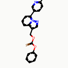 Fc1ccc(-c2cccc3c(COC(=S)Oc4ccccc4)cnn23)cn1